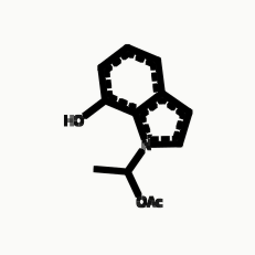 CC(=O)OC(C)n1ccc2cccc(O)c21